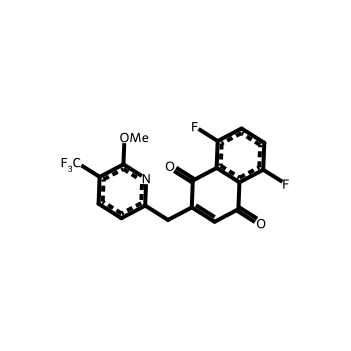 COc1nc(CC2=CC(=O)c3c(F)ccc(F)c3C2=O)ccc1C(F)(F)F